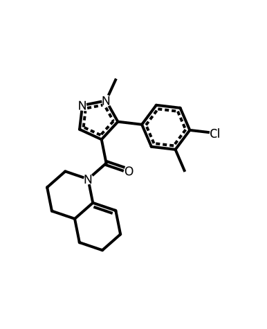 Cc1cc(-c2c(C(=O)N3CCCC4CCCC=C43)cnn2C)ccc1Cl